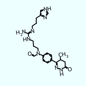 CC1CC(=O)NN=C1c1ccc(N(C=O)CCCNC(N)=NCCCc2c[nH]cn2)cc1